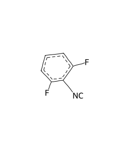 [C-]#[N+]c1c(F)cccc1F